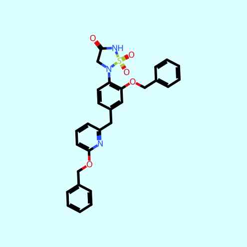 O=C1CN(c2ccc(Cc3cccc(OCc4ccccc4)n3)cc2OCc2ccccc2)S(=O)(=O)N1